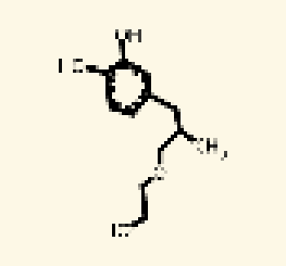 CC(COCCO)Cc1ccc(O)c(O)c1